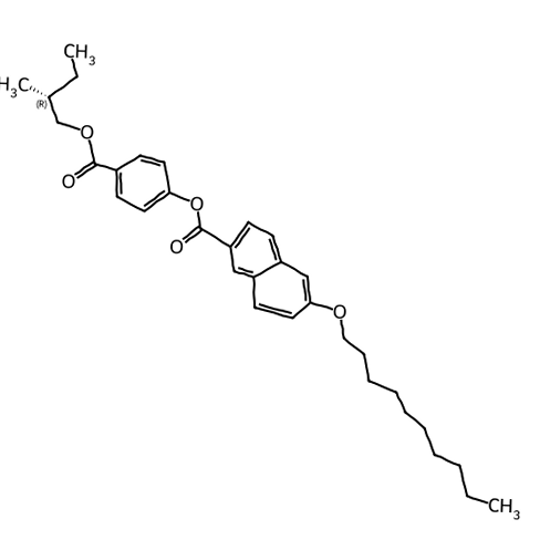 CCCCCCCCCCOc1ccc2cc(C(=O)Oc3ccc(C(=O)OC[C@H](C)CC)cc3)ccc2c1